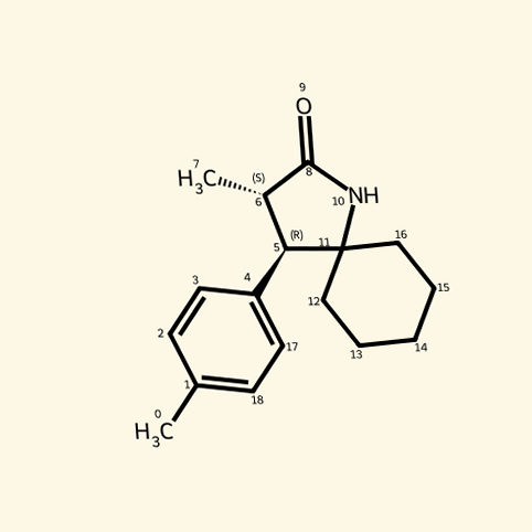 Cc1ccc([C@H]2[C@H](C)C(=O)NC23CCCCC3)cc1